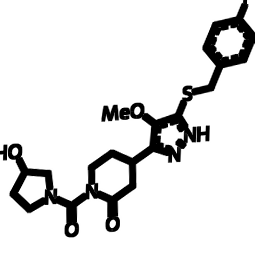 COc1c(C2CCN(C(=O)N3CCC(O)C3)C(=O)C2)n[nH]c1SCc1ccc(F)cc1